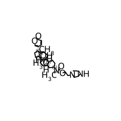 CN(C(=O)OCCN1CCNCC1)[C@H]1CC[C@@]2(C)[C@H](CC[C@@H]3[C@@H]2CC[C@]2(C)[C@@H](c4ccc(=O)oc4)CC[C@]32O)C1